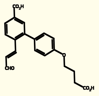 O=CC=Cc1ccc(C(=O)O)cc1-c1ccc(OCCCC(=O)O)cc1